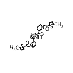 Cc1ccc(C(=O)CN2C=CCC(C(=O)NNC(=O)C3=CN(CC(=O)c4ccc(C)s4)C=CC3)=C2)s1